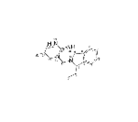 CCC1c2ccccc2CN1CN(CC(C)C)C(=N)N